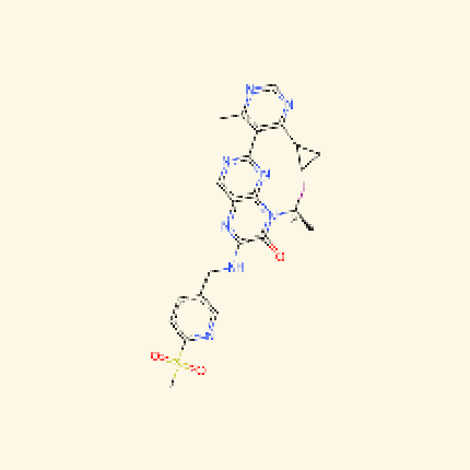 Cc1ncnc(C2CC2)c1-c1ncc2nc(NCc3ccc(S(C)(=O)=O)nc3)c(=O)n([C@H](C)I)c2n1